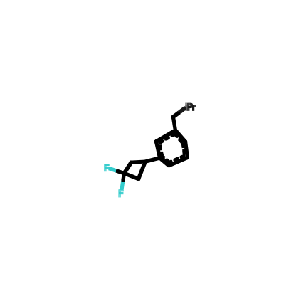 CC(C)Cc1cccc(C2CC(F)(F)C2)c1